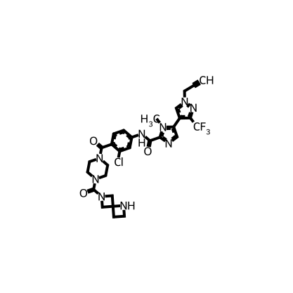 C#CCn1cc(-c2cnc(C(=O)Nc3ccc(C(=O)N4CCN(C(=O)N5CC6(CCN6)C5)CC4)c(Cl)c3)n2C)c(C(F)(F)F)n1